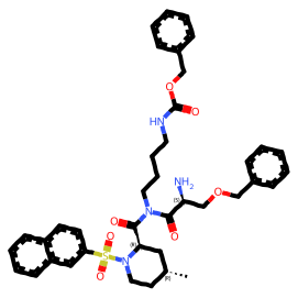 C[C@@H]1CCN(S(=O)(=O)c2ccc3ccccc3c2)[C@@H](C(=O)N(CCCCNC(=O)OCc2ccccc2)C(=O)[C@@H](N)COCc2ccccc2)C1